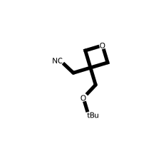 CC(C)(C)OCC1(CC#N)COC1